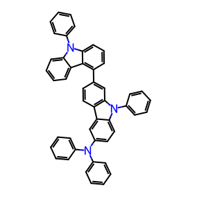 c1ccc(N(c2ccccc2)c2ccc3c(c2)c2ccc(-c4cccc5c4c4ccccc4n5-c4ccccc4)cc2n3-c2ccccc2)cc1